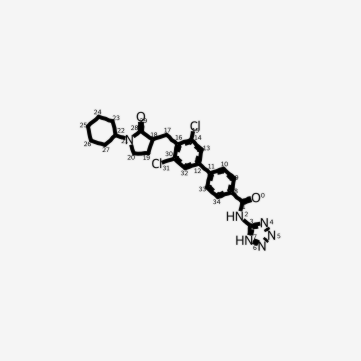 O=C(Nc1nnn[nH]1)c1ccc(-c2cc(Cl)c(CC3CCN(C4CCCCC4)C3=O)c(Cl)c2)cc1